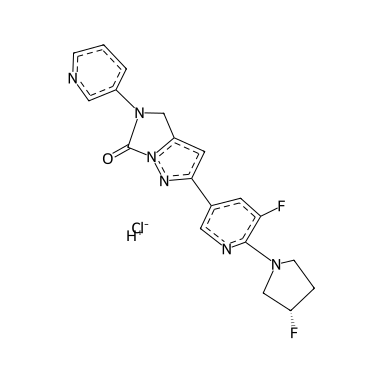 O=C1N(c2cccnc2)Cc2cc(-c3cnc(N4CC[C@H](F)C4)c(F)c3)nn21.[Cl-].[H+]